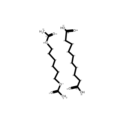 CC(=O)OCCCCCCOC(C)=O.O=C(O)CCCCCCCCC(=O)O